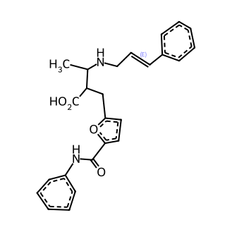 CC(NC/C=C/c1ccccc1)C(Cc1ccc(C(=O)Nc2ccccc2)o1)C(=O)O